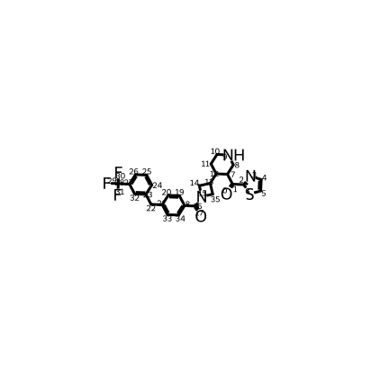 O=C(c1nccs1)C1CNCCC1C1CN(C(=O)c2ccc(Cc3cccc(C(F)(F)F)c3)cc2)C1